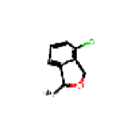 CCCC1OCc2c(Cl)cccc21